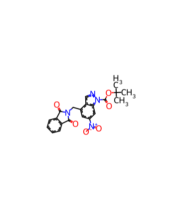 CC(C)(C)OC(=O)n1ncc2c(CN3C(=O)c4ccccc4C3=O)cc([N+](=O)[O-])cc21